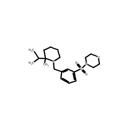 CC(C)C1(C)CCCCN1Cc1cccc(S(=O)(=O)N2CCOCC2)c1